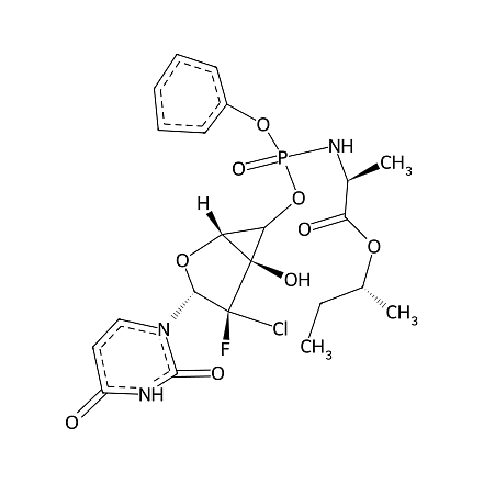 CC[C@@H](C)OC(=O)[C@H](C)NP(=O)(Oc1ccccc1)OC1[C@H]2O[C@@H](n3ccc(=O)[nH]c3=O)[C@@](F)(Cl)[C@@]12O